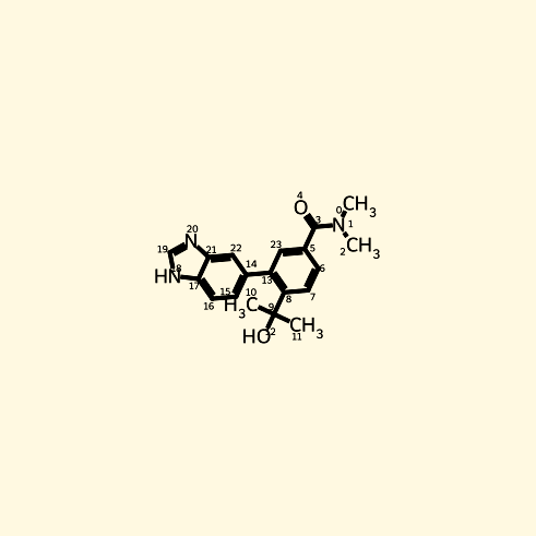 CN(C)C(=O)c1ccc(C(C)(C)O)c(-c2ccc3[nH]cnc3c2)c1